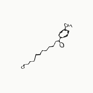 O=CCCCCCCCCCCC(=O)c1ccc(O)cc1